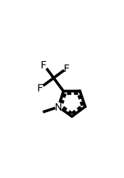 Cn1cccc1C(F)(F)F